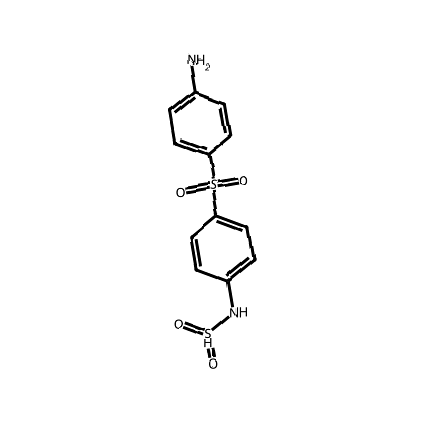 Nc1ccc(S(=O)(=O)c2ccc(N[SH](=O)=O)cc2)cc1